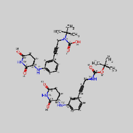 CC(C)(C)N(CC#Cc1cccc(N[C@@H]2CCC(=O)NC2=O)c1)C(=O)O.CC(C)(C)OC(=O)NCC#Cc1cccc(N[C@H]2CCC(=O)NC2=O)c1